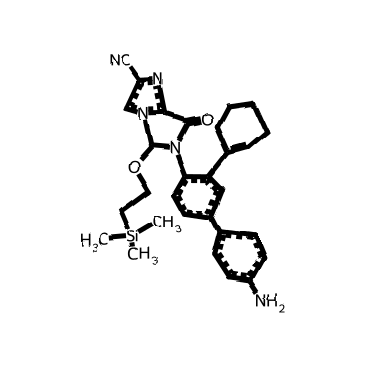 C[Si](C)(C)CCOC1N(c2ccc(-c3ccc(N)cc3)cc2C2=CCCCC2)C(=O)c2nc(C#N)cn21